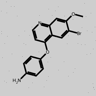 COc1cc2nccc(Oc3ccc(N)cc3)c2cc1Br